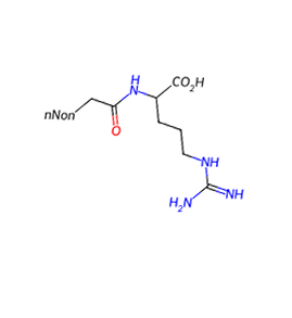 CCCCCCCCCCC(=O)NC(CCCNC(=N)N)C(=O)O